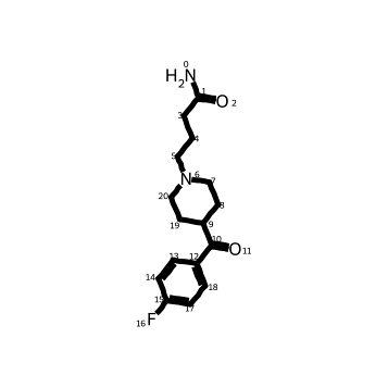 NC(=O)CCCN1CCC(C(=O)c2ccc(F)cc2)CC1